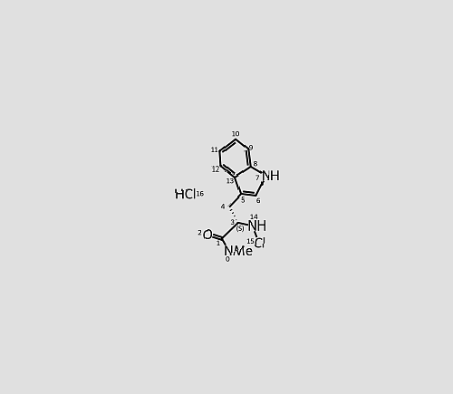 CNC(=O)[C@H](Cc1c[nH]c2ccccc12)NCl.Cl